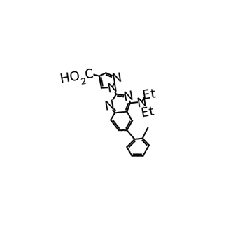 CCN(CC)c1nc(-n2cc(C(=O)O)cn2)nc2ccc(-c3ccccc3C)cc12